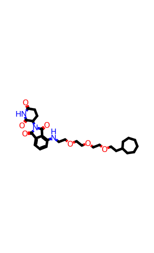 O=C1CCC(N2C(=O)c3cccc(NCCOCCOCCOCCC4CCCCCC4)c3C2=O)C(=O)N1